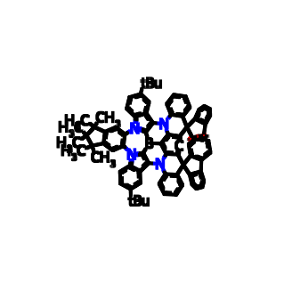 CC(C)(C)c1ccc2c(c1)c1c3n2-c2cc4c(cc2-n2c5c(c6cc(C(C)(C)C)ccc62)N2c6ccccc6C6(c7ccccc7-c7ccccc76)c6cc7c(c(c62)B35)N1c1ccccc1C71c2ccccc2-c2ccccc21)C(C)(C)C(C)(C)C4(C)C